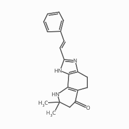 CC1(C)CC(=O)C2=C(N1)c1[nH]c(C=Cc3ccccc3)nc1CC2